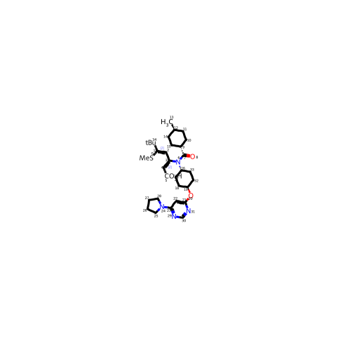 CS/C(=C\C(=C\C(=O)O)N(C(=O)[C@H]1CC[C@H](C)CC1)[C@H]1CC[C@H](Oc2cc(N3CCCC3)ncn2)CC1)C(C)(C)C